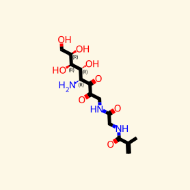 C=C(C)C(=O)NCC(=O)NCC(=O)C(=O)[C@H](N)[C@@H](O)[C@@H](O)[C@H](O)CO